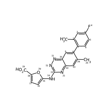 Cc1cc(F)ccc1-c1cc2nnc(Nc3ccc(C(=O)O)o3)nc2cc1C